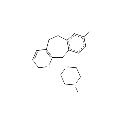 CCOC(=O)N1CCN([C@@H]2C3=C(C=CCN3)CCc3cc(Cl)ccc32)CC1